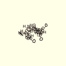 C[C@H]1C[C@@H](N)[C@H](O)[C@@H](O[C@@H]2O[C@H](CO)[C@@H](O[C@H]3O[C@H]4CCC(c5ccccc5)O[C@H]4[C@H](O)[C@H]3NC(=O)OCc3ccccc3)[C@H]2O)[C@@H]1O[C@H]1O[C@H](CN=[N+]=[N-])C[C@@H](O)[C@H]1NC(=O)OCc1ccccc1